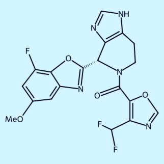 COc1cc(F)c2oc([C@@H]3c4nc[nH]c4CCN3C(=O)c3ocnc3C(F)F)nc2c1